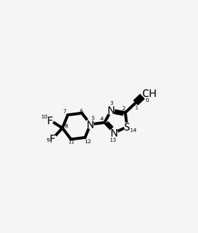 C#Cc1nc(N2CCC(F)(F)CC2)ns1